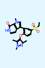 CCS(=O)(=O)c1ccc(Oc2c(C)nn(C)c2C)c(-c2cn(C)c3c(=O)[nH]ccc23)c1